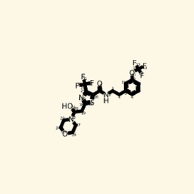 O=C(NCCc1cccc(OC(F)(F)F)c1)c1sc(CC(O)N2CCOCC2)nc1C(F)(F)F